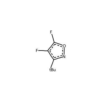 CC(C)(C)c1noc(F)c1F